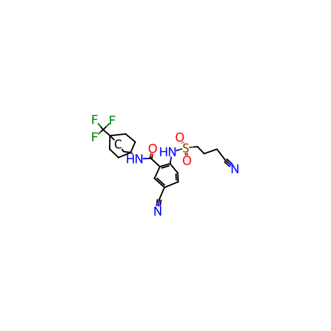 N#CCCCS(=O)(=O)Nc1ccc(C#N)cc1C(=O)NC12CCC(C(F)(F)F)(CC1)CC2